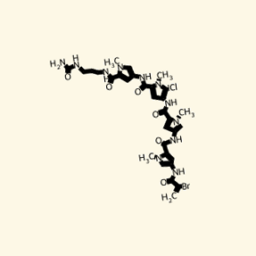 C=C(Br)C(=O)Nc1cc(C(=O)Nc2cc(C(=O)Nc3cc(C(=O)Nc4cc(C(=O)NCCCNC(N)=O)n(C)c4)n(C)c3)n(C)c2)n(C)c1.Cl